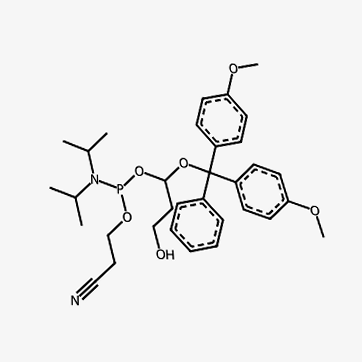 COc1ccc(C(OC(CCO)OP(OCCC#N)N(C(C)C)C(C)C)(c2ccccc2)c2ccc(OC)cc2)cc1